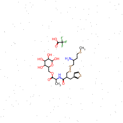 CSCCC(N)CSSCC(Cc1ccsc1)C(=O)NC(C)C(=O)OCC1OC(O)C(O)C(O)C1O.O=C(O)C(F)(F)F